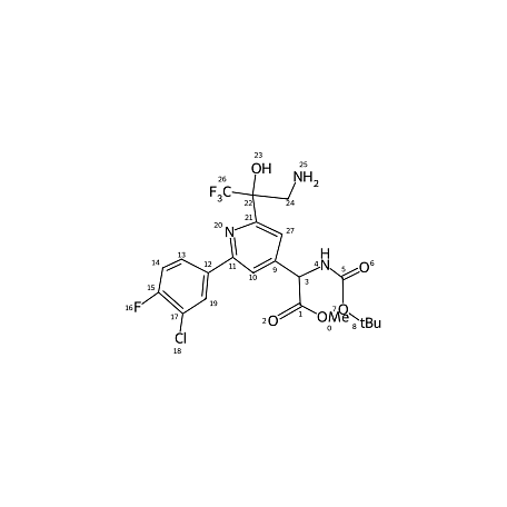 COC(=O)C(NC(=O)OC(C)(C)C)c1cc(-c2ccc(F)c(Cl)c2)nc(C(O)(CN)C(F)(F)F)c1